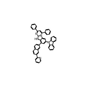 C1=C(c2ccccc2)N2c3cc(-n4c5ccccc5c5ccccc54)cc(-c4ccc5ccc(-c6ccccn6)cc5c4)c3NC2N=C1c1ccccc1